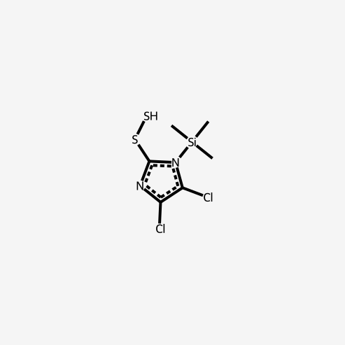 C[Si](C)(C)n1c(SS)nc(Cl)c1Cl